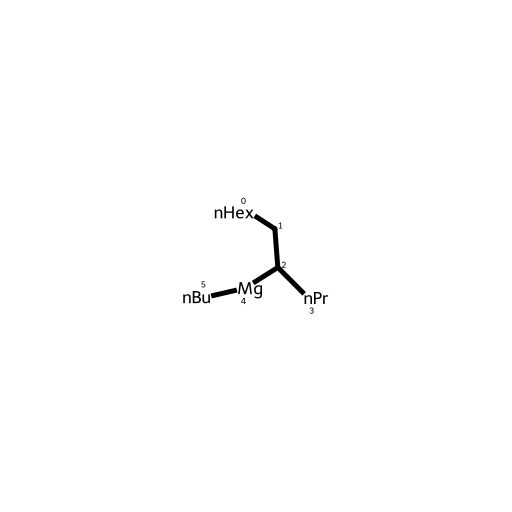 CCCCCCC[CH](CCC)[Mg][CH2]CCC